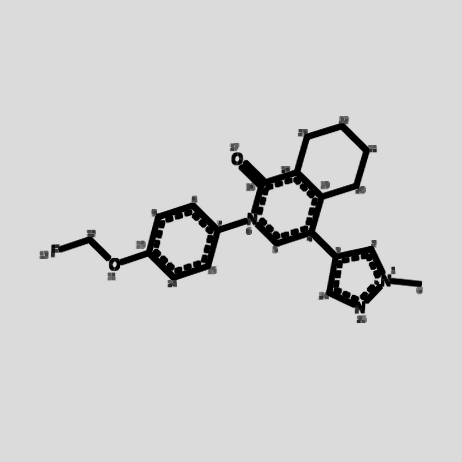 Cn1cc(-c2cn(-c3ccc(OCF)cc3)c(=O)c3c2CCCC3)cn1